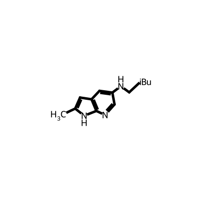 CCC(C)CNc1cnc2[nH]c(C)cc2c1